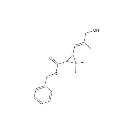 C/C(=C\C1C(C(=O)OCc2ccccc2)C1(C)C)CO